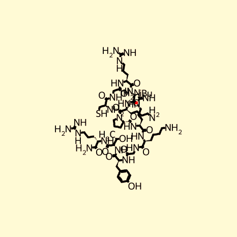 CC[C@H](C)[C@H](NC(=O)[C@H](CCCNC(=N)N)NC(=O)CNC(=O)[C@@H](N)CS)C(=O)N[C@@H](CCCCN)C(=O)N1CCC[C@H]1C(=O)N[C@@H](CCCNC(=N)N)C(=O)N[C@@H](CCCCN)C(=O)NCC(=O)N[C@@H](Cc1ccc(O)cc1)C(=O)N[C@H](C(=O)N[C@@H](CCCNC(=N)N)C(N)=O)[C@@H](C)O